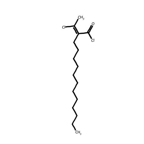 CCCCCCCCCCCCC(C(=O)Cl)=C(C)Cl